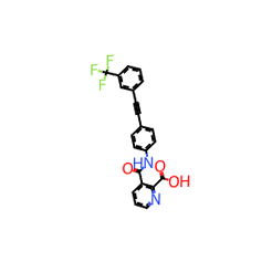 O=C(Nc1ccc(C#Cc2cccc(C(F)(F)F)c2)cc1)c1cccnc1C(=O)O